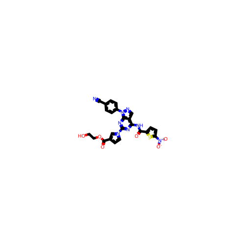 N#Cc1ccc(-n2ncc3c(NC(=O)c4ccc([N+](=O)[O-])s4)nc(-n4ccc(C(=O)OCCO)c4)nc32)cc1